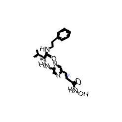 CC(C)[C@@H](Nc1cnc(/C=C/C(=O)NO)cn1)C(=O)NCCc1ccccc1